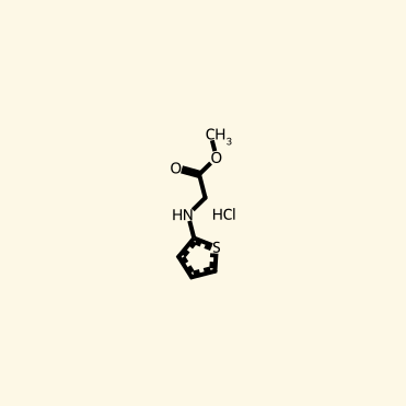 COC(=O)CNc1cccs1.Cl